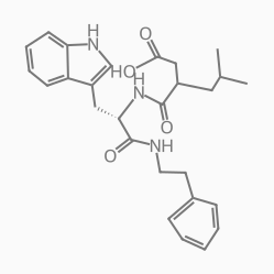 CC(C)CC(CC(=O)O)C(=O)N[C@@H](Cc1c[nH]c2ccccc12)C(=O)NCCc1ccccc1